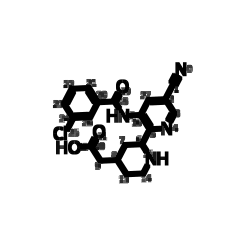 N#Cc1cnc(C2CC(CC(=O)O)CCN2)c(NC(=O)c2cccc(Cl)c2)c1